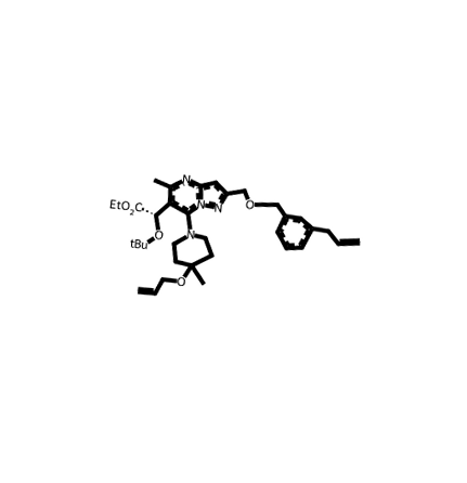 C=CCOC1(C)CCN(c2c([C@H](OC(C)(C)C)C(=O)OCC)c(C)nc3cc(COCc4cccc(CC=C)c4)nn23)CC1